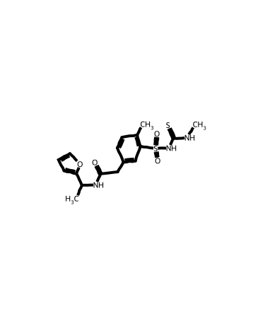 CNC(=S)NS(=O)(=O)c1cc(CC(=O)NC(C)c2ccco2)ccc1C